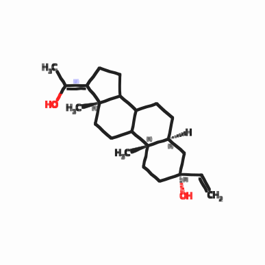 C=C[C@@]1(O)CC[C@]2(C)C3CC[C@]4(C)/C(=C(/C)O)CCC4C3CC[C@H]2C1